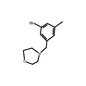 Cc1cc(CN2CCOCC2)cc(C(C)(C)C)c1